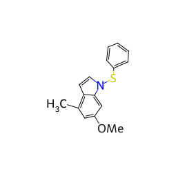 COc1cc(C)c2ccn(Sc3ccccc3)c2c1